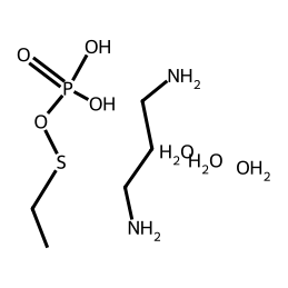 CCSOP(=O)(O)O.NCCCN.O.O.O